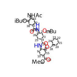 CCCCOc1cc(C(=O)Nc2ccc(C(=O)OC)cc2OCc2ccccc2)ccc1NC(=O)c1ccc(NC(C)=O)c(OCC(C)C)c1